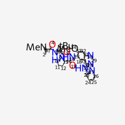 CN[C@@H](C)C(=O)N[C@H](C(=O)N1CCCC1C(=O)Nc1cc2c(Nc3ccccn3)ncnc2cc1OC)C(C)(C)C